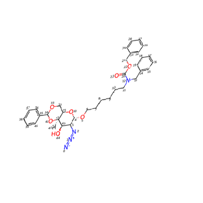 [N-]=[N+]=NC1[C@@H](OCCCCCCN(Cc2ccccc2)C(=O)OCc2ccccc2)OC2COC(c3ccccc3)O[C@@H]2[C@@H]1O